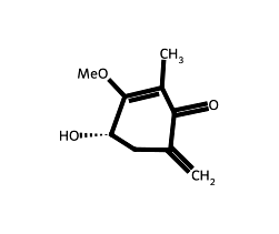 C=C1C[C@H](O)C(OC)=C(C)C1=O